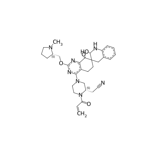 C=CC(=O)N1CCN(c2nc(OC[C@@H]3CCCN3C)nc3c2CCC2(Cc4ccccc4NC2O)C3=O)C[C@@H]1CC#N